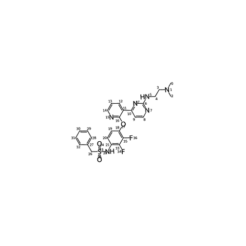 CN(C)CCNc1nccc(-c2cccnc2Oc2ccc(NS(=O)(=O)Cc3ccccc3)c(F)c2F)n1